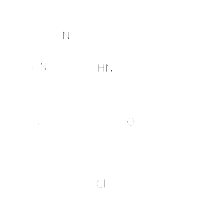 CC(C)(C)C(=O)NCc1nccn1Cc1ccc(Cl)cc1